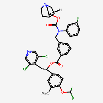 COc1cc([C@H](Cc2c(Cl)cncc2Cl)OC(=O)c2cccc(CN(C(=O)O[C@H]3CN4CCC3CC4)c3cccc(F)c3)c2)ccc1OC(F)F